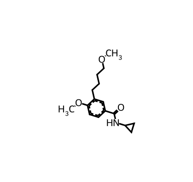 COCCCCc1cc(C(=O)NC2CC2)ccc1OC